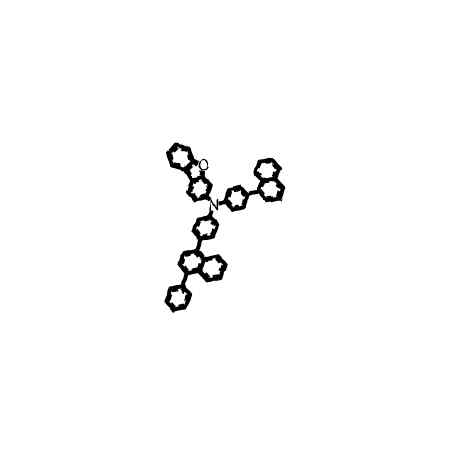 c1ccc(-c2ccc(-c3ccc(N(c4ccc(-c5cccc6ccccc56)cc4)c4ccc5c(c4)oc4ccccc45)cc3)c3ccccc23)cc1